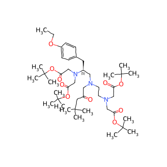 CCOc1ccc(C[C@@H](CN(CCN(CC(=O)OC(C)(C)C)CC(=O)OC(C)(C)C)CC(=O)CC(C)(C)C)N(CC(=O)OC(C)(C)C)CC(=O)OC(C)(C)C)cc1